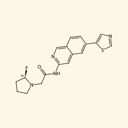 O=C(CN1CCC[C@H]1F)Nc1cc2cc(-c3cncs3)ccc2cn1